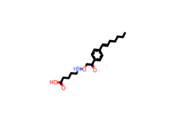 CCCCCC=Cc1ccc(C(=O)CONCCCCC(=O)O)cc1